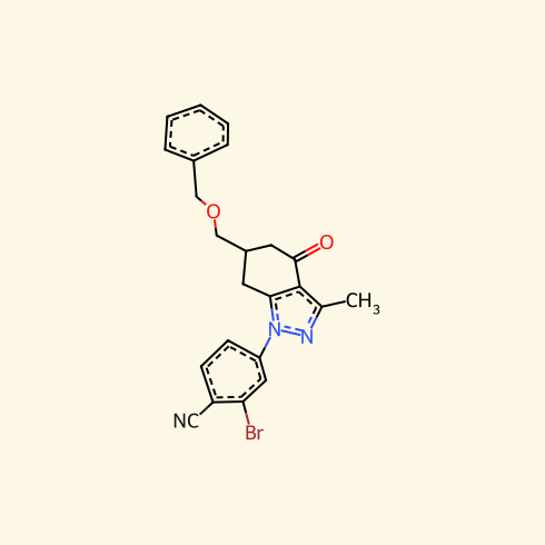 Cc1nn(-c2ccc(C#N)c(Br)c2)c2c1C(=O)CC(COCc1ccccc1)C2